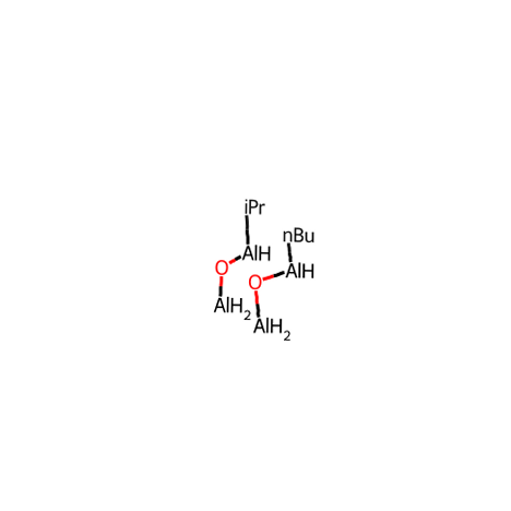 CCC[CH2][AlH][O][AlH2].C[CH](C)[AlH][O][AlH2]